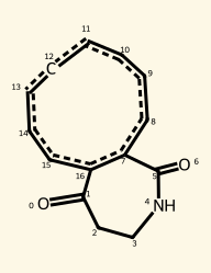 O=C1CCNC(=O)c2ccccccccc21